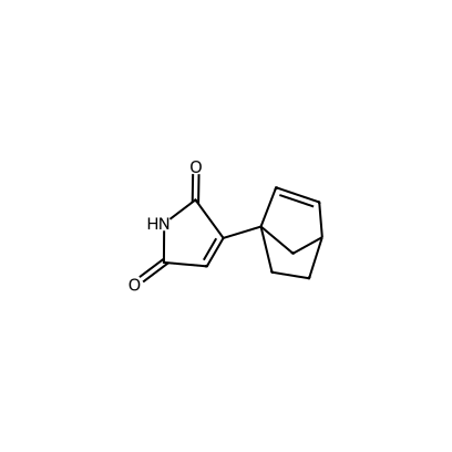 O=C1C=C(C23C=CC(CC2)C3)C(=O)N1